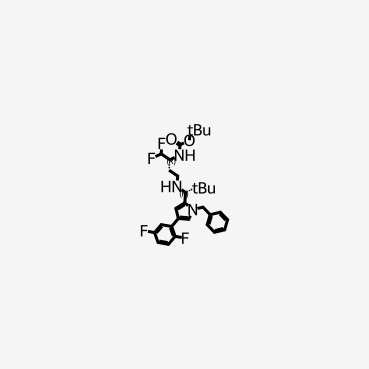 CC(C)(C)OC(=O)N[C@H](CCN[C@@H](c1cc(-c2cc(F)ccc2F)cn1Cc1ccccc1)C(C)(C)C)C(F)F